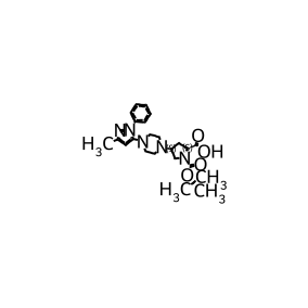 Cc1cc(N2CCN([C@H]3C[C@@H](C(=O)O)N(C(=O)OC(C)(C)C)C3)CC2)n(-c2ccccc2)n1